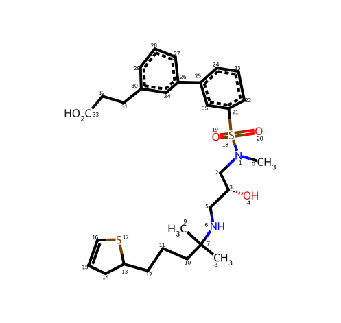 CN(C[C@H](O)CNC(C)(C)CCCC1CC=CS1)S(=O)(=O)c1cccc(-c2cccc(CCC(=O)O)c2)c1